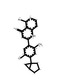 CC(=O)c1nccc2[nH]c(-c3cc(Cl)c(C45CCCC4C5)cc3C)cc(=O)c12